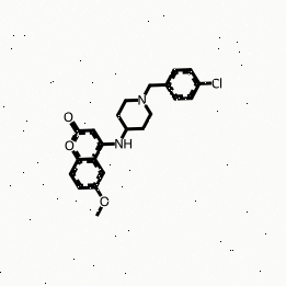 COc1ccc2oc(=O)cc(NC3CCN(Cc4ccc(Cl)cc4)CC3)c2c1